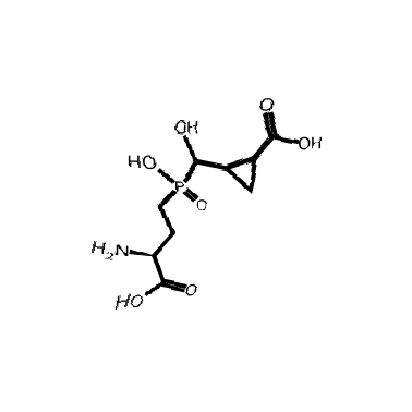 N[C@@H](CCP(=O)(O)C(O)C1CC1C(=O)O)C(=O)O